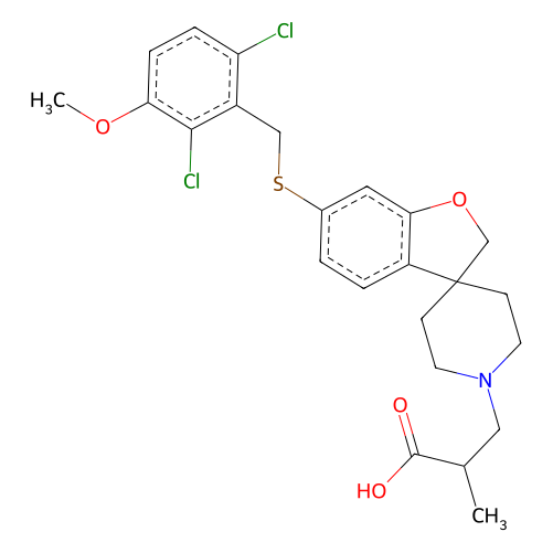 COc1ccc(Cl)c(CSc2ccc3c(c2)OCC32CCN(CC(C)C(=O)O)CC2)c1Cl